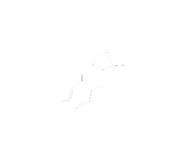 O=C(O)N1CCC(Oc2cc(C(F)(F)F)ccc2F)C1